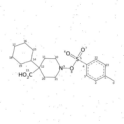 Cc1ccc(S(=O)(=O)ON2CCC(C(=O)O)(C3CCCCC3)CC2)cc1